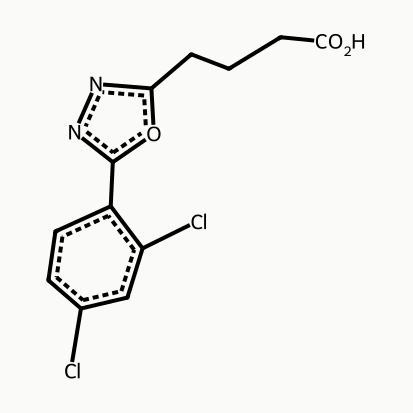 O=C(O)CCCc1nnc(-c2ccc(Cl)cc2Cl)o1